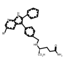 NC(=O)CC[C@H](NCc1ccc(-c2c(-c3ccccc3)[nH]c3ncc(Br)cc23)cc1)C(=O)O